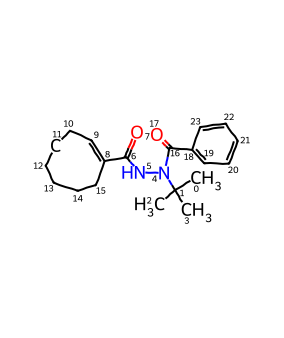 CC(C)(C)N(NC(=O)C1=CCCCCCC1)C(=O)c1ccccc1